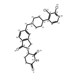 O=C1CCC(N2Cc3cc(CN4CCC(c5ccnc(Cl)c5Cl)CC4)ccc3C2=O)C(=O)N1